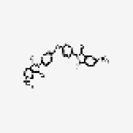 O=C1c2ccc([N+](=O)[O-])cc2C(=O)N1c1ccc(Oc2ccc(N3C(=O)c4ccc([N+](=O)[O-])cc4C3=O)cc2)cc1